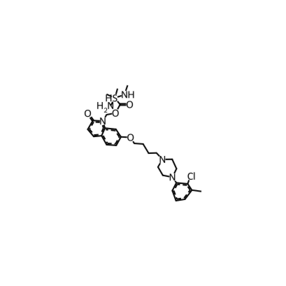 CN[SH](C)(C)(N)C(=O)OCn1c(=O)ccc2ccc(OCCCCN3CCN(c4cccc(C)c4Cl)CC3)cc21